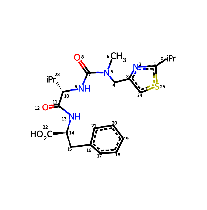 CC(C)c1nc(CN(C)C(=O)N[C@H](C(=O)N[C@@H](Cc2ccccc2)C(=O)O)C(C)C)cs1